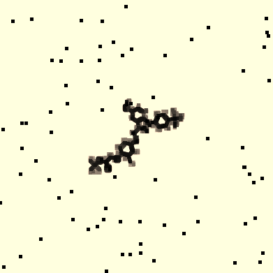 COc1ccc2c(c1)c(CSc1ccc(OCC(=O)OC(C)(C)C)c(C)c1)nn2-c1ccc(C(F)(F)F)cc1